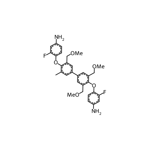 COCc1cc(-c2cc(COC)c(Oc3ccc(N)cc3F)c(COC)c2)cc(C)c1Oc1ccc(N)cc1F